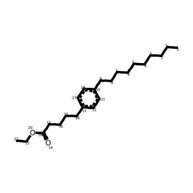 CCCCCCCCCCc1ccc([CH]CCCC(=O)OCC)cc1